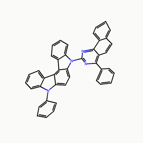 c1ccc(-c2nc(-n3c4ccccc4c4c5c6ccccc6n(-c6ccccc6)c5ccc43)nc3c2ccc2ccccc23)cc1